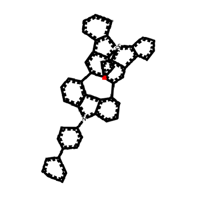 c1ccc(-c2ccc(-n3c4cccc(-c5ccc6sc7ccccc7c6c5)c4c4c(-c5ccc6sc7ccccc7c6c5)cccc43)cc2)cc1